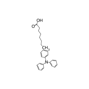 CCCCCCCC(=O)O.c1ccc(N(c2ccccc2)c2ccccc2)cc1